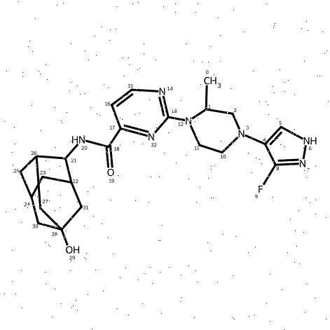 CC1CN(c2c[nH]nc2F)CCN1c1nccc(C(=O)NC2C3CC4CC2CC(O)(C4)C3)n1